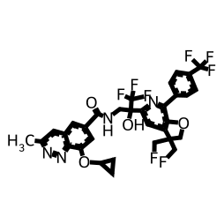 Cc1cc2cc(C(=O)NCC(O)(c3cc4c(c(-c5ccc(C(F)(F)F)cc5)n3)OCC4(CF)CF)C(F)(F)F)cc(OC3CC3)c2nn1